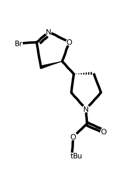 CC(C)(C)OC(=O)N1CC[C@@H]([C@H]2CC(Br)=NO2)C1